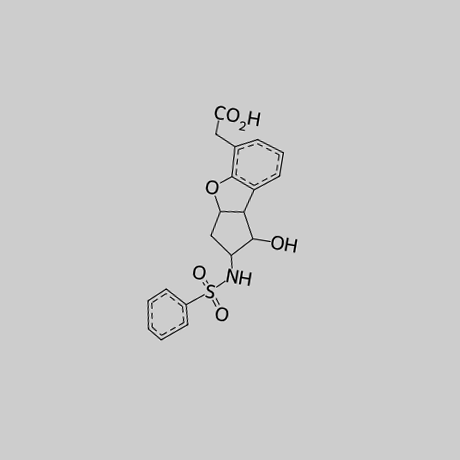 O=C(O)Cc1cccc2c1OC1CC(NS(=O)(=O)c3ccccc3)C(O)C21